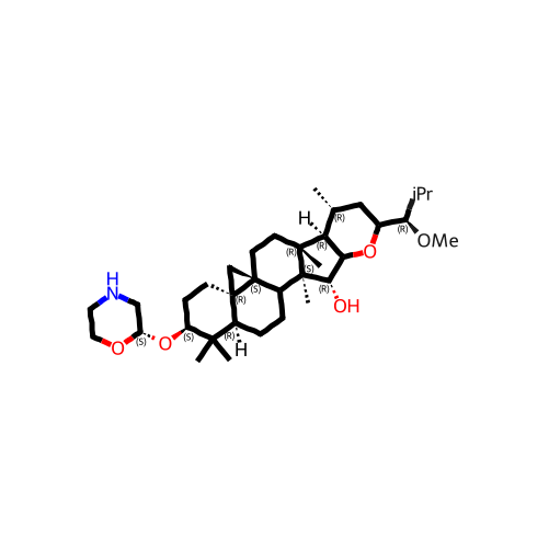 CO[C@H](C(C)C)C1C[C@@H](C)[C@H]2C(O1)[C@H](O)[C@@]1(C)C3CC[C@H]4C(C)(C)[C@@H](O[C@H]5CNCCO5)CC[C@@]45C[C@@]35CC[C@]21C